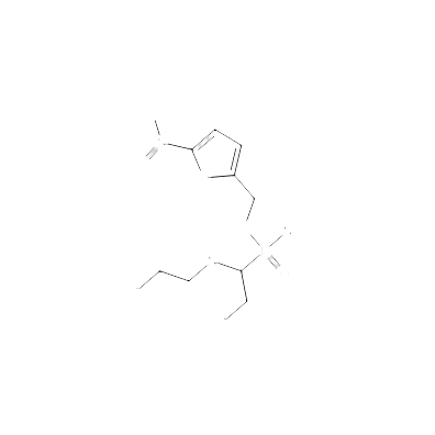 NP(=O)(OCc1ccc([N+](=O)[O-])o1)C(CCl)NCCCl